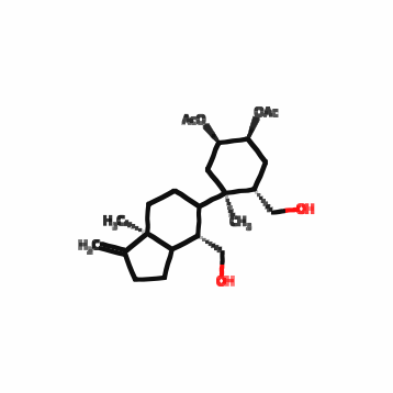 C=C1CCC2[C@@H](CO)C([C@@]3(C)C[C@@H](OC(C)=O)[C@@H](OC(C)=O)C[C@@H]3CO)CC[C@]12C